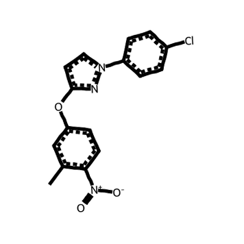 Cc1cc(Oc2ccn(-c3ccc(Cl)cc3)n2)ccc1[N+](=O)[O-]